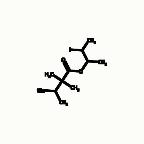 CC(I)C(C)OC(=O)C(C)(C)C(C)C(C)(C)C